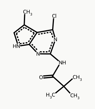 Cc1c[nH]c2nc(NC(=O)C(C)(C)C)nc(Cl)c12